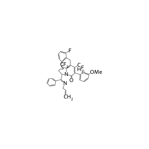 C=CCN=C(c1ccccc1)C1CSc2c(Cc3c(F)cccc3C(F)(F)F)c(C)c(-c3cccc(OC)c3F)c(=O)n21